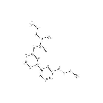 CCCOc1cccc(N2C=C(OC(=O)C(C)CCC)N=CC2)c1